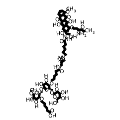 CCC(O)C(N)CCOC1C[C@](O)(/C(CO)=N/NC(=O)CCCCCn2cc(CNC(=O)CCCCCO[C@H]3[C@H](O)[C@@H](O)[C@@H](OC[C@H]4O[C@H](OC)[C@H](O)[C@@H](O)[C@@H]4OCCCCCC(=O)O)O[C@@H]3CO[C@H]3O[C@H](CO)[C@@H](O)[C@H](O)[C@H]3O)nn2)Cc2c(O)c3c(c(O)c21)C(=O)c1c(OC)cccc1C3=O